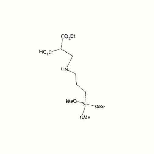 CCOC(=O)C(CNCCC[Si](OC)(OC)OC)C(=O)O